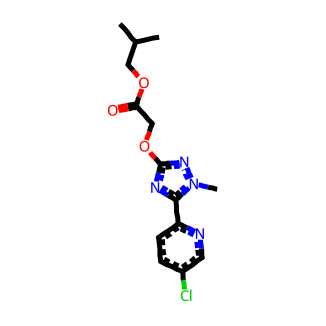 CC(C)COC(=O)COc1nc(-c2ccc(Cl)cn2)n(C)n1